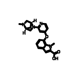 CN1C[C@@H]2C[C@H]1CN2c1cc(Oc2cccc3cc(C(=O)O)n(C)c23)ccn1